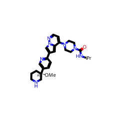 CO[C@@]1(c2ccc(-c3cc4c(N5CCN(C(=O)NC(C)C)CC5)ccnn4c3)nc2)CCCNC1